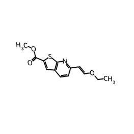 CCO/C=C/c1ccc2cc(C(=O)OC)sc2n1